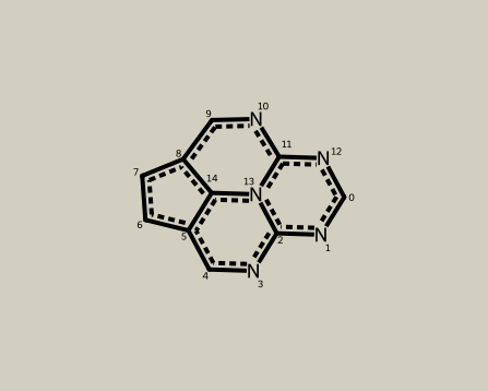 c1nc2ncc3ccc4cnc(n1)n2c34